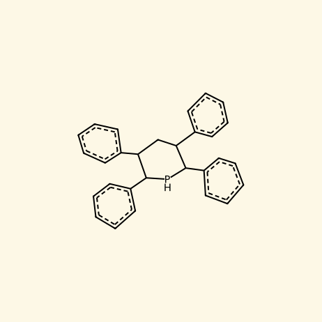 c1ccc(C2CC(c3ccccc3)C(c3ccccc3)PC2c2ccccc2)cc1